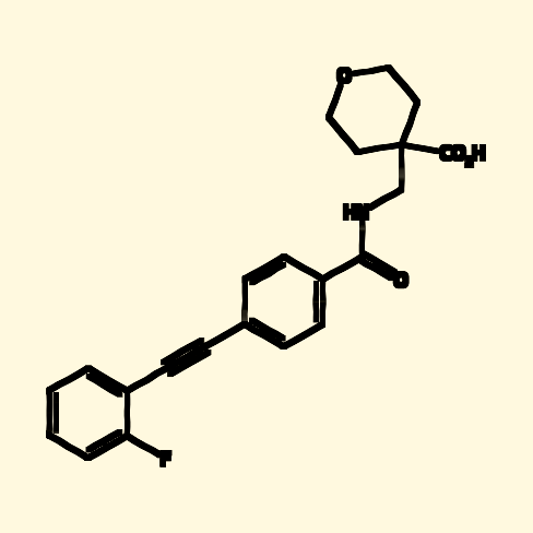 O=C(NCC1(C(=O)O)CCOCC1)c1ccc(C#Cc2ccccc2F)cc1